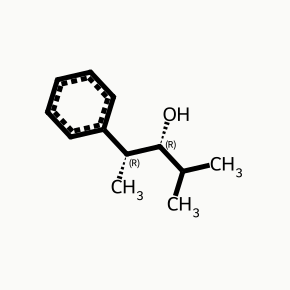 CC(C)[C@@H](O)[C@H](C)c1ccccc1